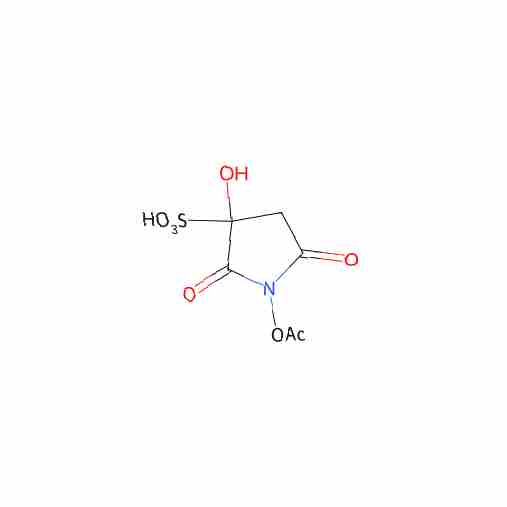 CC(=O)ON1C(=O)CC(O)(S(=O)(=O)O)C1=O